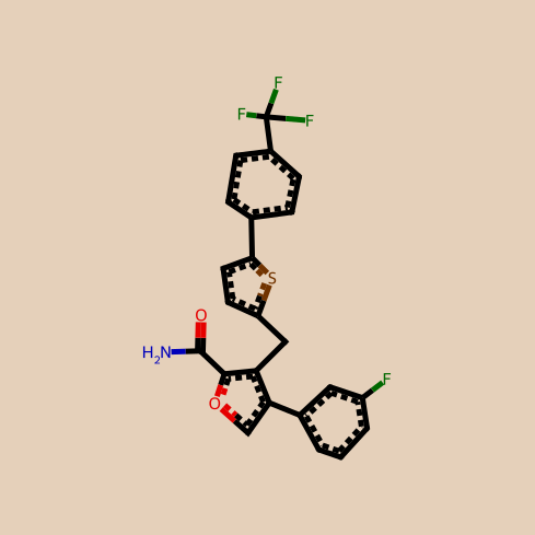 NC(=O)c1occ(-c2cccc(F)c2)c1Cc1ccc(-c2ccc(C(F)(F)F)cc2)s1